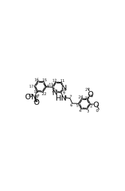 COc1ccc(CCNc2nccc(-c3cccc([N+](=O)[O-])c3)n2)cc1OC